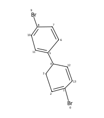 BrC1=CCC(c2ccc(Br)cc2)C=C1